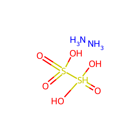 N.N.O=S(=O)(O)[SH](=O)(O)O